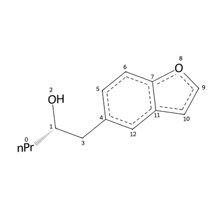 CCC[C@H](O)Cc1ccc2occc2c1